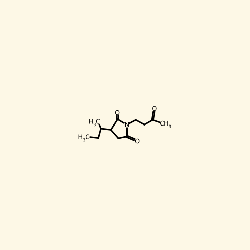 CCC(C)C1CC(=O)N(CCC(C)=O)C1=O